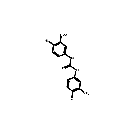 COc1cc(NC(=O)Nc2ccc(Cl)c(C(F)(F)F)c2)ccc1C#N